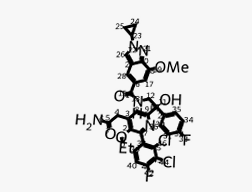 CCOc1c(CC(N)=O)cc([C@@](O)(CNC(=O)c2cc(OC)c3nn(C4CC4)cc3c2)c2ccc(F)cc2)nc1-c1ccc(F)c(Cl)c1Cl